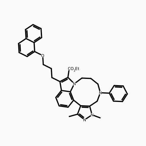 CCOC(=O)c1c(CCCOc2cccc3ccccc23)c2cccc3c2n1CCCN(c1ccccc1)Cc1c-3c(C)nn1C